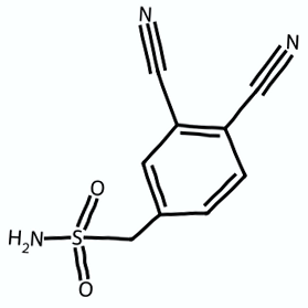 N#Cc1ccc(CS(N)(=O)=O)cc1C#N